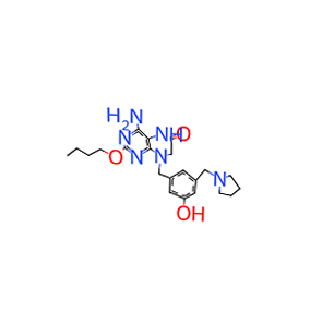 CCCCOc1nc(N)c2c(n1)N(Cc1cc(O)cc(CN3CCCC3)c1)CC(=O)N2